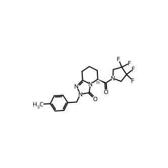 Cc1ccc(Cn2nc3n(c2=O)[C@H](C(=O)N2CC(F)(F)C(F)(F)C2)CCC3)cc1